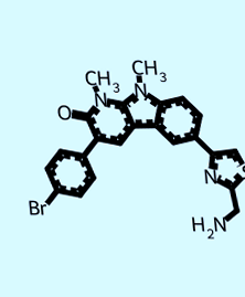 Cn1c(=O)c(-c2ccc(Br)cc2)cc2c3cc(-c4csc(CN)n4)ccc3n(C)c21